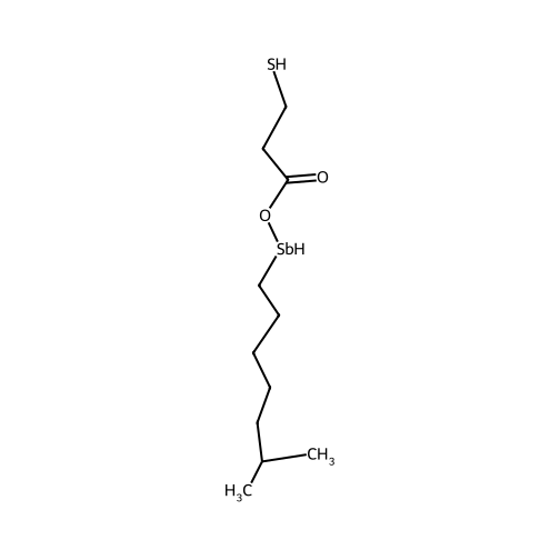 CC(C)CCCC[CH2][SbH][O]C(=O)CCS